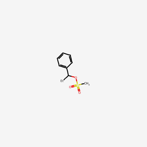 CCC(OS(C)(=O)=O)c1ccccc1